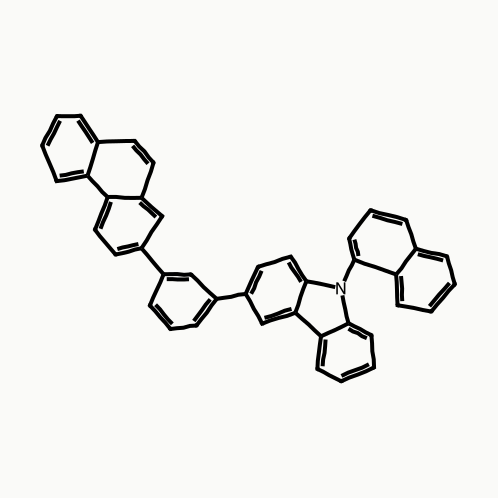 c1cc(-c2ccc3c(ccc4ccccc43)c2)cc(-c2ccc3c(c2)c2ccccc2n3-c2cccc3ccccc23)c1